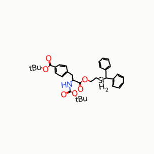 CC(C)(C)OC(=O)NC(Cc1ccc(C(=O)OC(C)(C)C)cc1)C(=O)OCC[SiH2]C(c1ccccc1)c1ccccc1